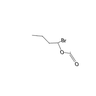 CCCC(Br)O[C]=O